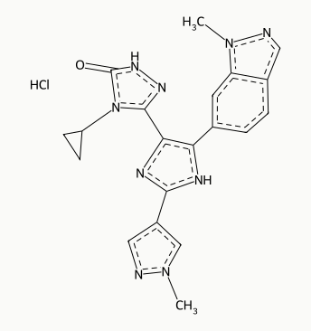 Cl.Cn1cc(-c2nc(-c3n[nH]c(=O)n3C3CC3)c(-c3ccc4cnn(C)c4c3)[nH]2)cn1